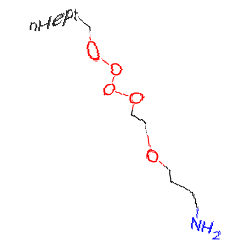 CCCCCCCCOOOOCCOCCCN